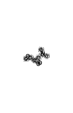 O=S1(=O)Cc2cc(-c3cc(-c4ccccc4)nc(-c4ccccc4)c3)ccc2-c2cc(-c3ccc4oc5ccccc5c4c3)ccc2C1